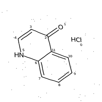 Cl.O=c1cc[nH]c2ccccc12